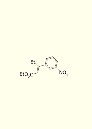 CCOC(=O)C=C(CC)c1cccc([N+](=O)[O-])c1